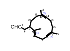 C/C1=C/C/C=C(\C)C(CC=O)CC/C(C)=C\CC1